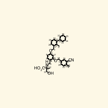 Cc1c(COc2ccc(CN[C@](C)(CO)C(=O)O)c(OCc3ccc(F)c(C#N)c3)c2)cccc1-c1ccccc1